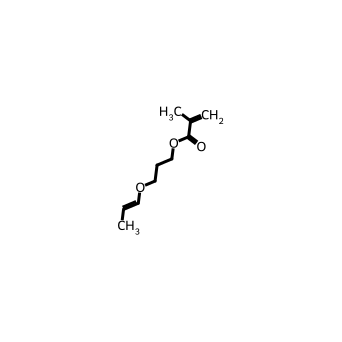 C=C(C)C(=O)OCCCOC=CC